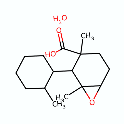 CC1CCCCC1C1C(C)(C(=O)O)CCC2OC21C.O